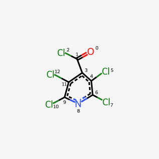 O=C(Cl)c1c(Cl)c(Cl)nc(Cl)c1Cl